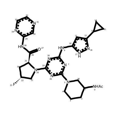 CC(=O)NC1CCCN(c2nc(Nc3cc(C4CC4)n[nH]3)nc(N3C[C@H](F)C[C@H]3C(=O)Nc3cnccn3)n2)C1